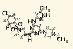 CCN1CCN(c2cc(Nc3cc(C)[nH]n3)nc(N[C@H]3CCN(S(=O)(=O)c4ccc(Cl)cc4F)C3)n2)CC1